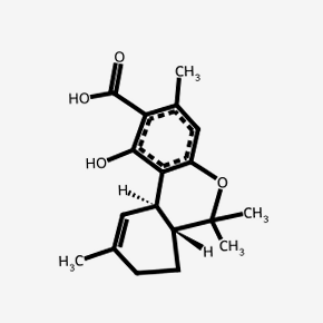 CC1=C[C@H]2c3c(cc(C)c(C(=O)O)c3O)OC(C)(C)[C@@H]2CC1